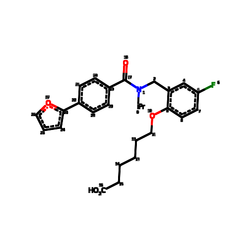 CC(C)N(Cc1cc(F)ccc1OCCCCCC(=O)O)C(=O)c1ccc(-c2ccco2)cc1